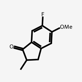 COc1cc2c(cc1F)C(=O)C(C)C2